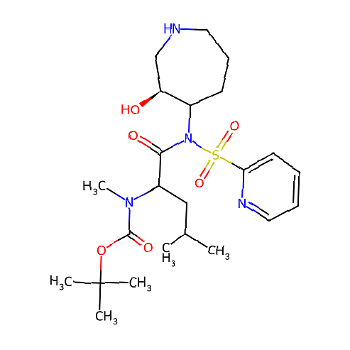 CC(C)CC(C(=O)N(C1CCCNC[C@@H]1O)S(=O)(=O)c1ccccn1)N(C)C(=O)OC(C)(C)C